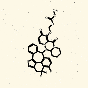 COC(=O)OCOc1c2n(ccc1=O)N(C1c3ccccc3-c3scc4c3-c3c1ccc(F)c3C(F)(F)C4)C1CCCCN1C2=O